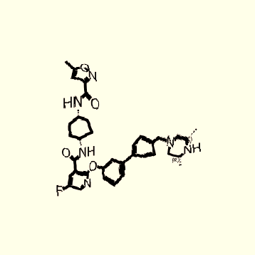 Cc1cc(C(=O)N[C@H]2CC[C@@H](NC(=O)c3cc(F)cnc3Oc3cccc(-c4ccc(CN5C[C@@H](C)N[C@@H](C)C5)cc4)c3)CC2)no1